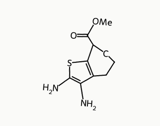 COC(=O)C1CCCc2c1sc(N)c2N